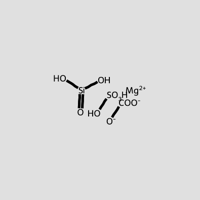 O=C([O-])[O-].O=S(=O)(O)O.O=[Si](O)O.[Mg+2]